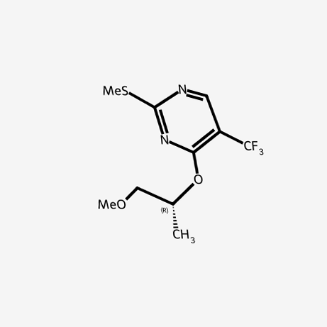 COC[C@@H](C)Oc1nc(SC)ncc1C(F)(F)F